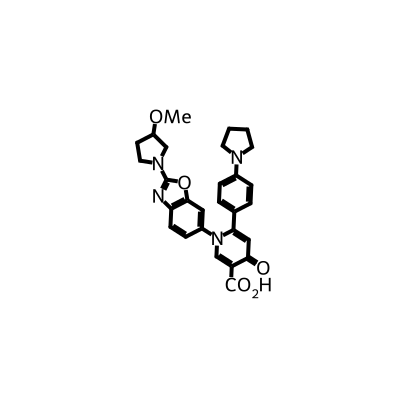 COC1CCN(c2nc3ccc(-n4cc(C(=O)O)c(=O)cc4-c4ccc(N5CCCC5)cc4)cc3o2)C1